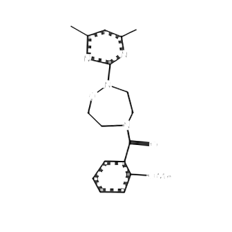 COc1ccccc1C(=O)N1CCON(c2nc(C)cc(C)n2)CC1